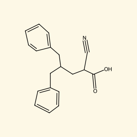 N#CC(CC(Cc1ccccc1)Cc1ccccc1)C(=O)O